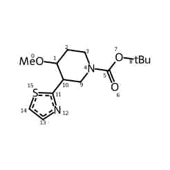 COC1CCN(C(=O)OC(C)(C)C)CC1c1nccs1